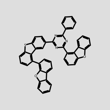 c1ccc(-c2nc(-c3ccc4sc5cccc(-c6cccc7c6oc6ccccc67)c5c4c3)nc(-c3cccc4oc5ccccc5c34)n2)cc1